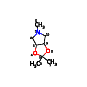 CN1CC2OC(C)(C)OC2C1